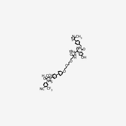 Cc1ncsc1-c1ccc(CNC(=O)[C@@H]2C[C@@H](O)CN2C(=O)C(NC(=O)CCOCCOCCOc2ccc(-c3ccc(N4C(=S)N(c5ccc(C#N)c(C(F)(F)F)c5)C(=O)C4(C)C)cc3)cc2)C(C)(C)C)cc1